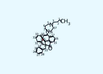 CCCCN1CCCN(c2ccc3c4c(cccc24)C(=O)C3(Cc2ccccc2)Cc2ccccc2)CC1